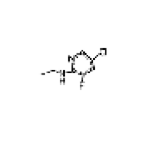 CCNc1ncc(Cl)cc1F